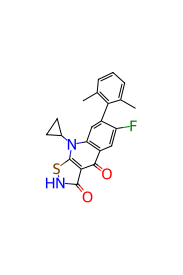 Cc1cccc(C)c1-c1cc2c(cc1F)c(=O)c1c(=O)[nH]sc1n2C1CC1